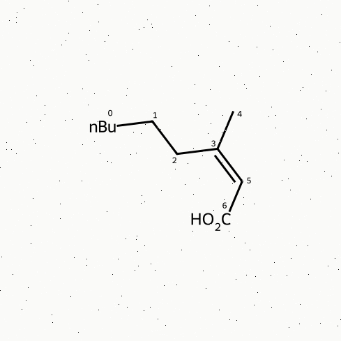 CCCCCC/C(C)=C\C(=O)O